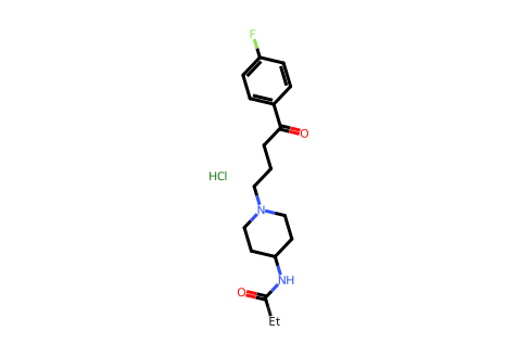 CCC(=O)NC1CCN(CCCC(=O)c2ccc(F)cc2)CC1.Cl